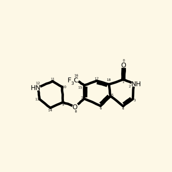 O=c1[nH]ccc2cc(OC3CCNCC3)c(C(F)(F)F)cc12